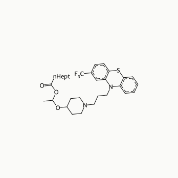 CCCCCCCC(=O)OC(C)OC1CCN(CCCN2c3ccccc3Sc3ccc(C(F)(F)F)cc32)CC1